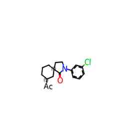 CC(=O)[C@H]1CCC[C@]2(CCN(c3cccc(Cl)c3)C2=O)C1